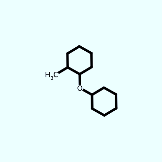 CC1CCCCC1OC1CCCCC1